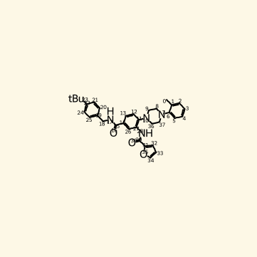 Cc1ccccc1N1CCN(c2ccc(C(=O)NCc3ccc(C(C)(C)C)cc3)cc2NC(=O)c2ccco2)CC1